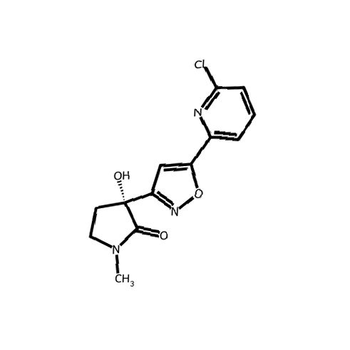 CN1CC[C@@](O)(c2cc(-c3cccc(Cl)n3)on2)C1=O